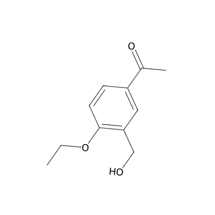 CCOc1ccc(C(C)=O)cc1CO